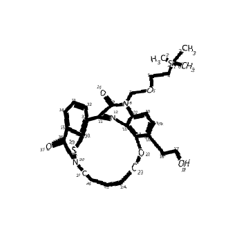 C[Si](C)(C)CCOCn1c(=O)c2nc3c(c(CCO)ccc31)OCCCCCn1sc3c-2cccc3c1=O